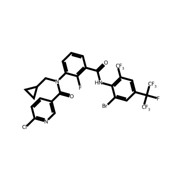 O=C(Nc1c(Br)cc(C(F)(C(F)(F)F)C(F)(F)F)cc1C(F)(F)F)c1cccc(N(CC2CC2)C(=O)c2ccc(Cl)nc2)c1F